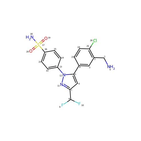 NCc1cc(-c2cc(C(F)F)nn2-c2ccc(S(N)(=O)=O)cc2)ccc1Cl